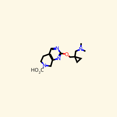 CN(C)CC1(COc2ncc3c(n2)CN(C(=O)O)CC3)CC1